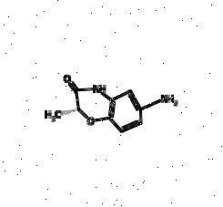 C[C@H]1Oc2ccc(N)cc2NC1=O